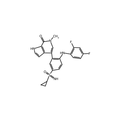 Cn1cc(-c2cc(S(=N)(=O)C3CC3)ccc2Nc2ccc(F)cc2F)c2cc[nH]c2c1=O